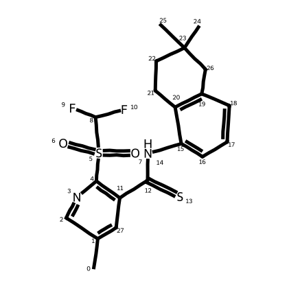 Cc1cnc(S(=O)(=O)C(F)F)c(C(=S)Nc2cccc3c2CCC(C)(C)C3)c1